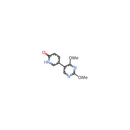 COc1ncc(-c2ccc(=O)[nH]c2)c(OC)n1